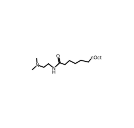 CCCCCCCCCCCCCC(=O)NCCN(C)C